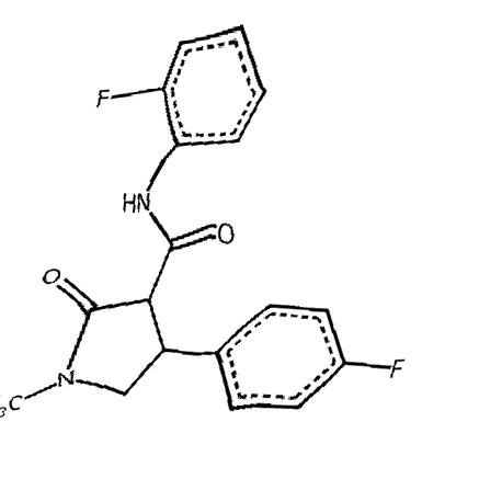 CN1CC(c2ccc(F)cc2)C(C(=O)Nc2ccccc2F)C1=O